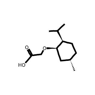 CC(C)[C@H]1CC[C@H](C)C[C@H]1OCC(=O)O